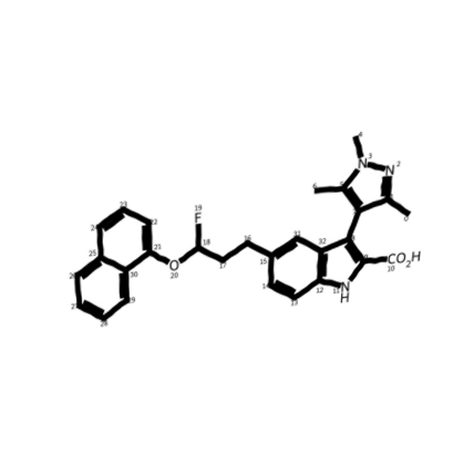 Cc1nn(C)c(C)c1-c1c(C(=O)O)[nH]c2ccc(CCC(F)Oc3cccc4ccccc34)cc12